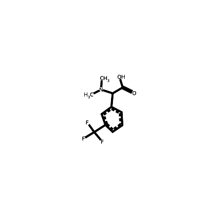 CN(C)C(C(=O)O)c1cccc(C(F)(F)F)c1